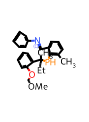 CCC(C)(Pc1c(C)cccc1/C=N/c1ccccc1)c1ccccc1OCOC